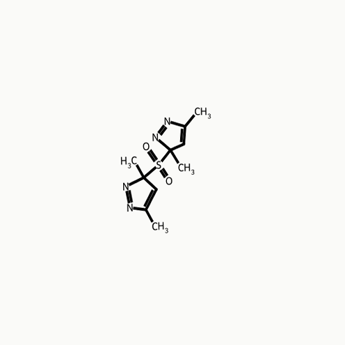 CC1=CC(C)(S(=O)(=O)C2(C)C=C(C)N=N2)N=N1